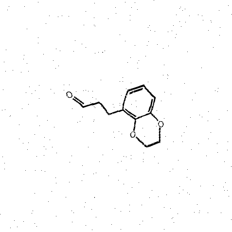 O=CCCc1cccc2c1OCCO2